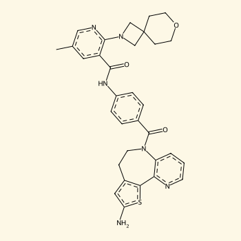 Cc1cnc(N2CC3(CCOCC3)C2)c(C(=O)Nc2ccc(C(=O)N3CCc4cc(N)sc4-c4ncccc43)cc2)c1